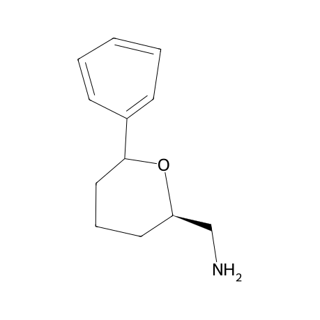 NC[C@H]1CCCC(c2ccccc2)O1